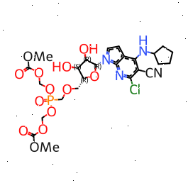 COC(=O)OCOP(=O)(COC[C@H]1O[C@@H](n2ccc3c(NC4CCCC4)c(C#N)c(Cl)nc32)[C@H](O)[C@@H]1O)OCOC(=O)OC